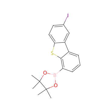 CC1(C)OB(c2cccc3c2sc2ccc(I)cc23)OC1(C)C